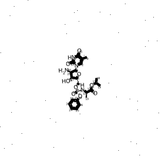 Cc1cn([C@@H]2O[C@H](CO[P@@](=O)(N[C@H](C)C(=O)OC(C)C)Oc3ccccc3)[C@@H](O)[C@H]2N)c(=O)[nH]c1=O